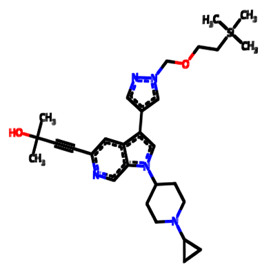 CC(C)(O)C#Cc1cc2c(-c3cnn(COCC[Si](C)(C)C)c3)cn(C3CCN(C4CC4)CC3)c2cn1